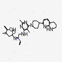 C=C/C(CNc1nc(C)nc(N2CCC(c3ccc4c(n3)NCCC4)CC2)c1C)=N/C(=O)C[C@@H](C)C(=C)O